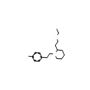 CCOCCC1C[CH]CCN1CCc1ccc(Br)cc1